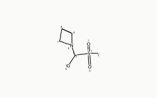 CS(=O)(=O)C([O])N1CCC1